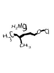 CC(C)CCOCl.[MgH2]